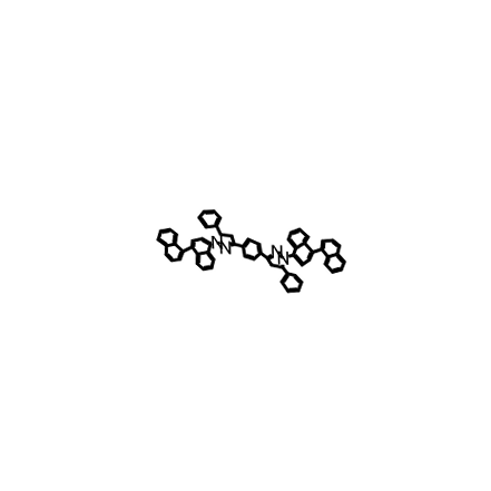 c1ccc(C2CC(c3ccc(C4=NN(c5ccc(-c6cccc7ccccc67)c6ccccc56)C(c5ccccc5)C4)cc3)=NN2c2ccc(-c3cccc4ccccc34)c3ccccc23)cc1